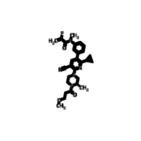 C=C(F)C(=O)N(C)c1cccc(-c2cc(C#N)c(N3CCN(C(=O)CCOC)[C@H](C)C3)nc2C2CC2)c1